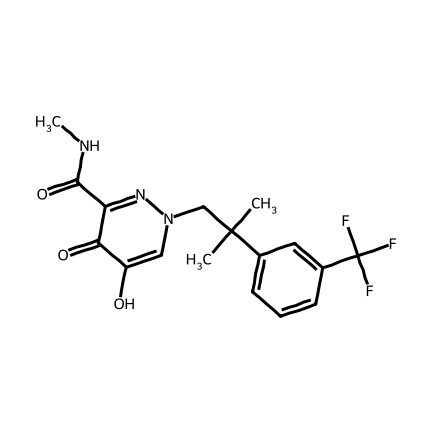 CNC(=O)c1nn(CC(C)(C)c2cccc(C(F)(F)F)c2)cc(O)c1=O